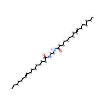 CCCCCCC=CCCCCCCCC(=O)NCCNC(=O)CCCCCCCC=CCCCCCC